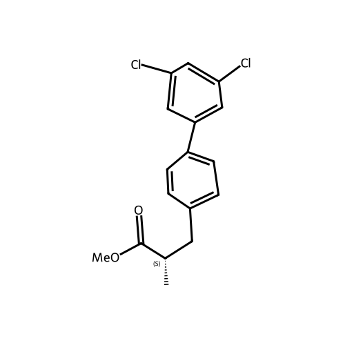 COC(=O)[C@@H](C)Cc1ccc(-c2cc(Cl)cc(Cl)c2)cc1